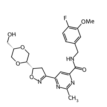 COc1cc(CNC(=O)c2cc(C3=NO[C@H](C4CO[C@@H](CO)CO4)C3)nc(C)n2)ccc1F